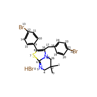 Br.CC1(C)CN=C2SC(c3ccc(Br)cc3)=C(Cc3ccc(Br)cc3)N2C1